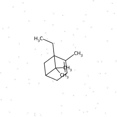 C[CH]C12CC(CC=C1C)C2(C)C